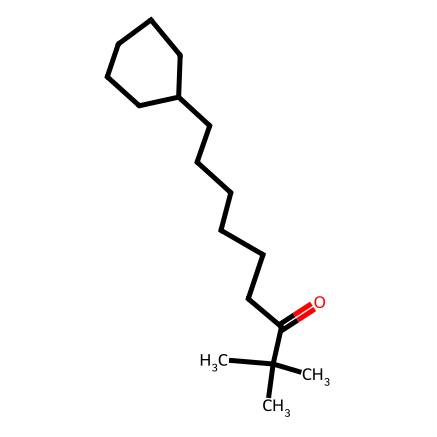 CC(C)(C)C(=O)CCCCCCC1CCCCC1